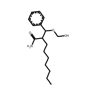 CCCCCCCC(C(N)=O)C(OCO)c1ccccc1